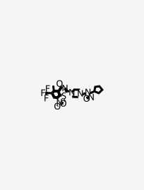 Cc1c(C(F)(F)F)cc([N+](=O)[O-])c2sc(N3CCN(c4nc(C5CCCC5)no4)CC3)nc(=O)c12